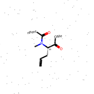 C=CC[C@@H](C(=O)OC)N(C)C(=O)CCCCC